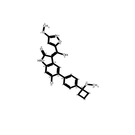 COc1cc(C(O)=C2C(=O)Nc3cc(Cl)c(-c4ccc(C5(OC)CCC5)cc4)cc32)on1